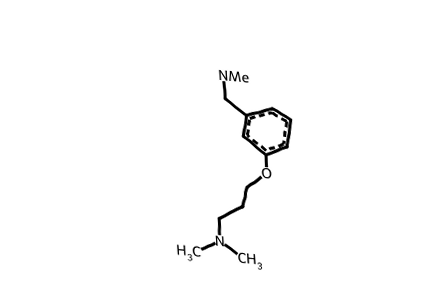 CNCc1cccc(OCCCN(C)C)c1